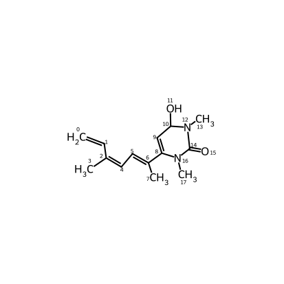 C=C/C(C)=C\C=C(/C)C1=CC(O)N(C)C(=O)N1C